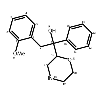 COc1ccccc1CC(O)(c1ccccc1)C1CNCCO1